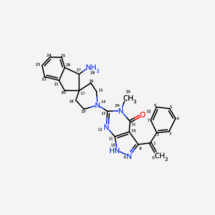 C=C(c1ccccc1)c1n[nH]c2nc(N3CCC4(CC3)Cc3ccccc3C4N)n(C)c(=O)c12